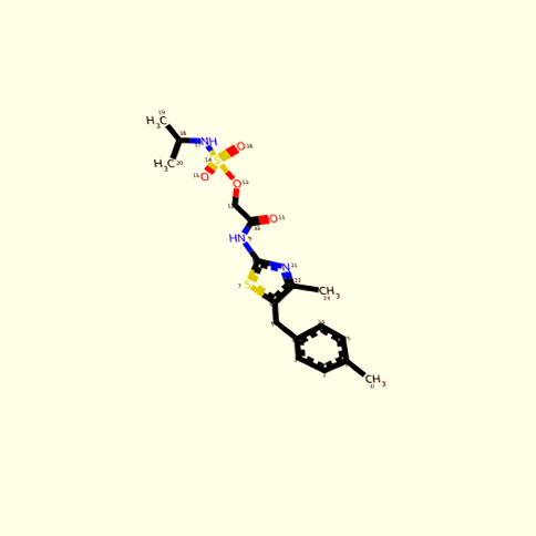 Cc1ccc(Cc2sc(NC(=O)COS(=O)(=O)NC(C)C)nc2C)cc1